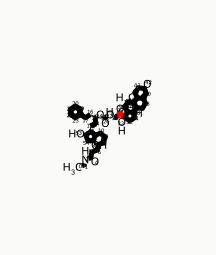 CCNC(=O)CCC/C=C\CC1[C@@H](/C=C/[C@H](CCc2ccccc2)OC(=O)OCC(=O)[C@@]2(O)CC[C@H]3[C@@H]4CCC5=CC(=O)CCC5(C)C4=CCC32C)[C@H](O)C[C@@H]1O